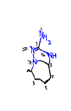 NC1=NN2CCCCC2N1